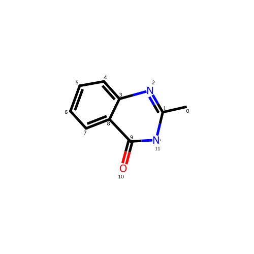 CC1=Nc2ccccc2C(=O)[N]1